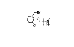 C[SiH](C)C(C)(C)COc1c(Cl)cccc1CBr